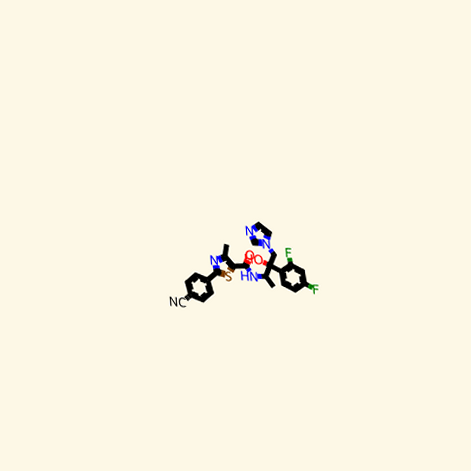 Cc1nc(-c2ccc(C#N)cc2)sc1C(=O)NC(C)C(O)(Cn1ccnc1)c1ccc(F)cc1F